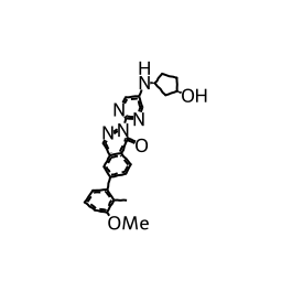 COc1cccc(-c2ccc3c(=O)n(-c4ncc(N[C@H]5CC[C@@H](O)C5)cn4)ncc3c2)c1C